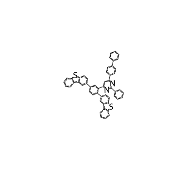 c1ccc(-c2ccc(-c3cc(-c4cc(-c5ccc6sc7ccccc7c6c5)ccc4-c4ccc5sc6ccccc6c5c4)nc(-c4ccccc4)n3)cc2)cc1